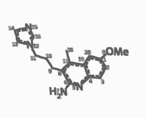 COc1ccc2nc(N)c(CCCn3ccnc3)c(C)c2c1